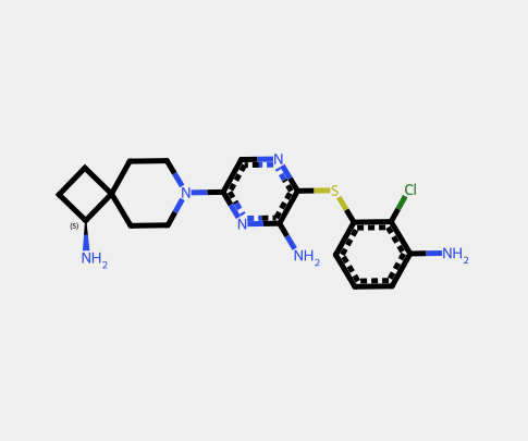 Nc1cccc(Sc2ncc(N3CCC4(CC[C@@H]4N)CC3)nc2N)c1Cl